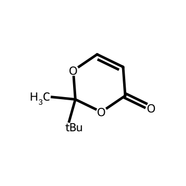 CC(C)(C)C1(C)OC=CC(=O)O1